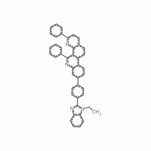 CCn1c(-c2ccc(-c3ccc4c(c3)nc(-c3ccccc3)c3c4ccc4ccc(-c5ccccc5)nc43)cc2)nc2ccccc21